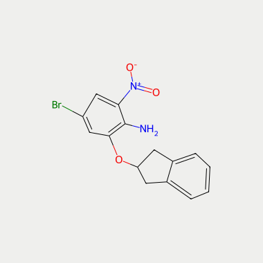 Nc1c(OC2Cc3ccccc3C2)cc(Br)cc1[N+](=O)[O-]